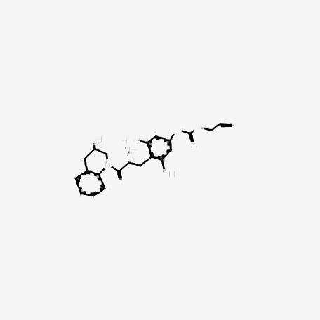 C=CCOC(=O)Oc1cc(C)c(C[C@H](N)C(=O)N2CC(C)Cc3ccccc32)c(C)c1